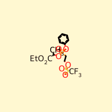 CCOC(=O)C(C)OP(=O)(CCOS(=O)(=O)C(F)(F)F)Oc1ccccc1